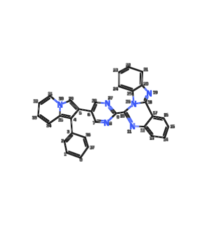 c1ccc(-c2c(-c3cnc(-c4nc5ccccc5c5nc6ccccc6n45)nc3)cn3ccccc23)cc1